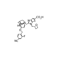 N#Cc1ccc(COc2cccc([C@@]34CCN(Cc5nc6cc(C(=O)O)sc6n5C[C@@H]5CCO5)C[C@@H]3C4)n2)c(F)c1